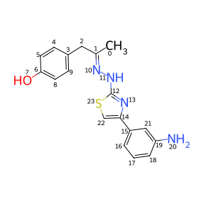 CC(Cc1ccc(O)cc1)=NNc1nc(-c2cccc(N)c2)cs1